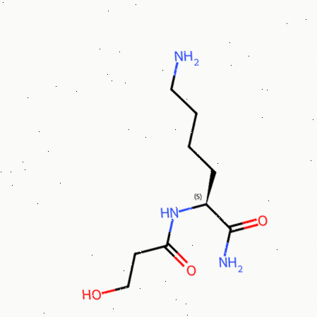 NCCCC[C@H](NC(=O)CCO)C(N)=O